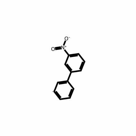 O=[N+]([O-])c1cccc(-c2c[c]ccc2)c1